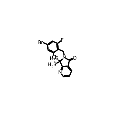 BC1(B)c2ncccc2C(=O)N1Cc1c(F)cc(Br)cc1Cl